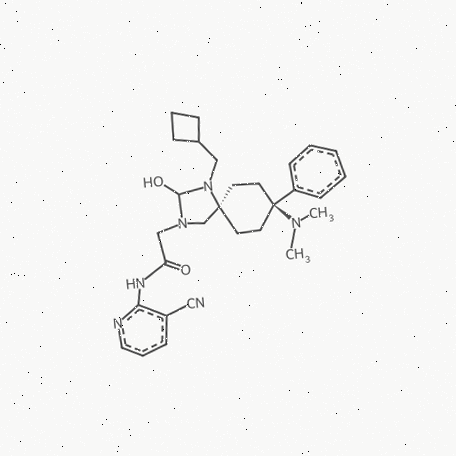 CN(C)[C@]1(c2ccccc2)CC[C@]2(CC1)CN(CC(=O)Nc1ncccc1C#N)C(O)N2CC1CCC1